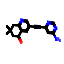 CC1(C)CC(=O)c2cc(C#Cc3cc(N)ncn3)cnc2C1